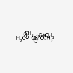 COc1cc(CCO[C@@H]2CCCC[C@H]2N2CC[C@@H](OC(=O)CN(C)C)C2)ccc1C